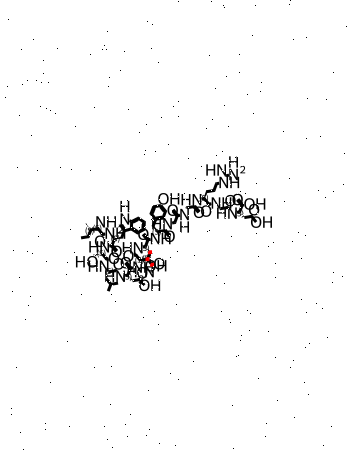 CC[C@H](C)[C@H](N)C(=O)N[C@@H](Cc1c[nH]c2ccccc12)C(=O)N[C@@H](CO)C(=O)N[C@@H](CC(C)C)C(=O)N[C@@H](CC(=O)O)C(=O)N[C@H](C(=O)N[C@@H](CCC(N)=O)C(=O)N[C@@H](Cc1ccc(O)cc1)C(=O)NCC(=O)NCC(=O)N[C@@H](CCCNC(=N)N)C(=O)NCC(=O)N[C@@H](CC(=O)O)C(=O)O)[C@@H](C)O